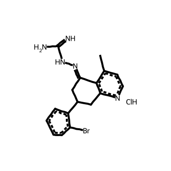 Cc1ccnc2c1C(=NNC(=N)N)CC(c1ccccc1Br)C2.Cl